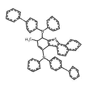 CC1C=C(N(c2ccccc2)c2ccc(-c3ccccc3)cc2)c2c(sc3c2ccc2ccccc23)C1N(c1ccccc1)c1ccc(-c2ccccc2)cc1